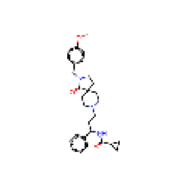 COc1ccc(CN2CCC3(CCN(CCC(NC(=O)C4CC4)c4ccccc4)CC3)C2=O)cc1